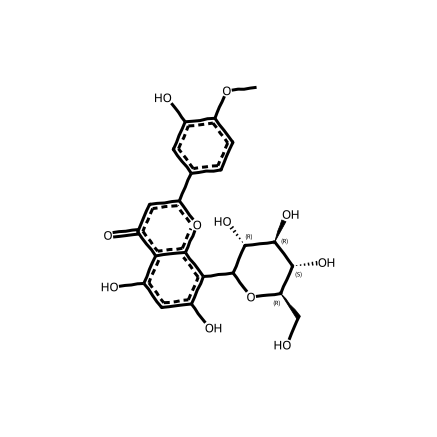 COc1ccc(-c2cc(=O)c3c(O)cc(O)c(C4O[C@H](CO)[C@@H](O)[C@H](O)[C@H]4O)c3o2)cc1O